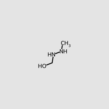 CNNCO